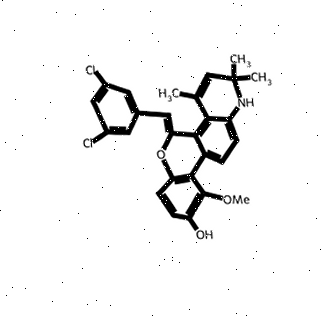 COc1c(O)ccc2c1-c1ccc3c(c1/C(=C/c1cc(Cl)cc(Cl)c1)O2)C(C)=CC(C)(C)N3